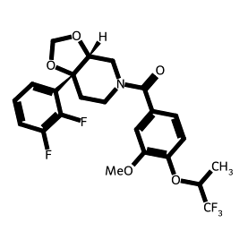 COc1cc(C(=O)N2CC[C@]3(c4cccc(F)c4F)OCO[C@@H]3C2)ccc1OC(C)C(F)(F)F